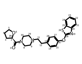 O=C([C@H]1CCCO1)N1CCN(CCc2ccc(Oc3nc4ccccc4s3)cc2)CC1